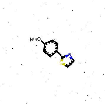 COc1ccc(-c2nc[c]s2)cc1